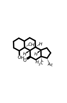 CC(=O)[C@H]1CC[C@H]2[C@@H]3CCC4CCCC(O)[C@]4(C)[C@H]3C(=O)C[C@]12C